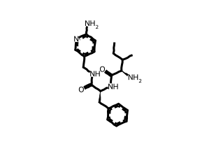 CCC(C)[C@@H](N)C(=O)N[C@@H](Cc1ccccc1)C(=O)NCc1ccc(N)nc1